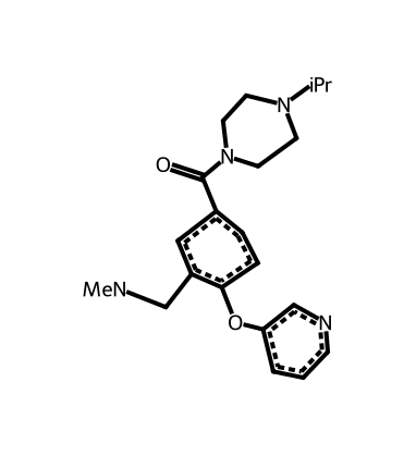 CNCc1cc(C(=O)N2CCN(C(C)C)CC2)ccc1Oc1cccnc1